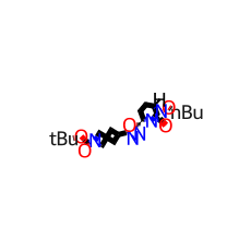 CCCCON1C(=O)N2C[C@@H]1CC[C@H]2c1nnc(C2CC3(C2)CN(C(=O)OC(C)(C)C)C3)o1